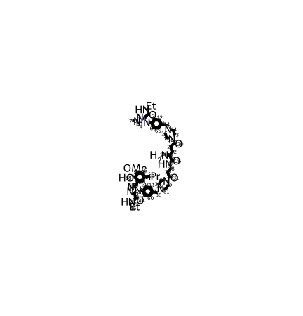 CCNC(=O)/C(=N/N(C)C)Nc1ccc(CN2CCN(C(=O)CC[C@@H](N)C(=O)NCCC(=O)N3CCN(Cc4ccc(-n5c(C(=O)NCC)nnc5-c5cc(C(C)C)c(OC)cc5O)cc4)CC3)CC2)cc1